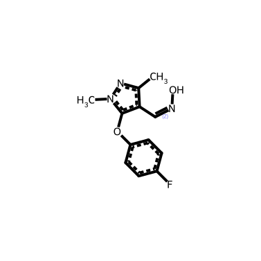 Cc1nn(C)c(Oc2ccc(F)cc2)c1/C=N\O